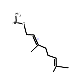 CC(C)=CCC/C(C)=C/COPP